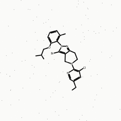 CCc1cnc(N2CCc3nn(-c4c(C)cccc4OCC(C)C)c(Br)c3C2)c(Cl)c1